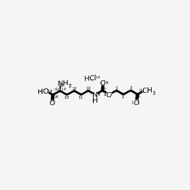 CC(=O)CCCOC(=O)NCCCC[C@H](N)C(=O)O.Cl